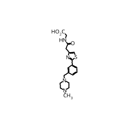 CN1CCN(Cc2cccc(-c3nc(CC(=O)NCC(=O)O)cs3)c2)CC1